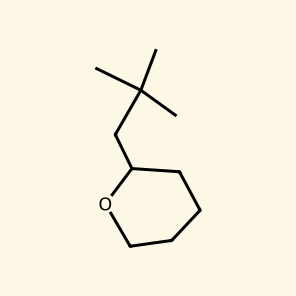 CC(C)(C)CC1CCCCO1